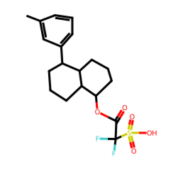 Cc1cccc(C2CCCC3C(OC(=O)C(F)(F)S(=O)(=O)O)CCCC23)c1